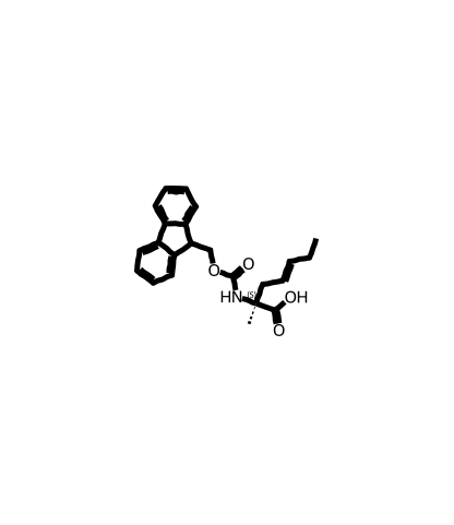 CCC=CC[C@](C)(NC(=O)OCC1c2ccccc2-c2ccccc21)C(=O)O